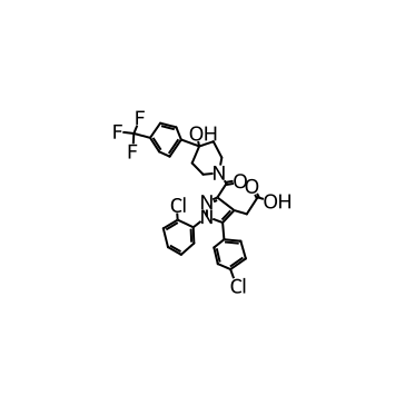 O=C(O)Cc1c(C(=O)N2CCC(O)(c3ccc(C(F)(F)F)cc3)CC2)nn(-c2ccccc2Cl)c1-c1ccc(Cl)cc1